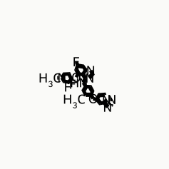 Cc1cc(Nc2ncnc3cc(F)cc(O[C@H]4CCN(C)CC4(F)F)c23)ccc1Oc1ccn2ncnc2c1